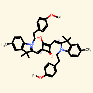 CC(C)Oc1ccc(CCN2/C(=C\C3=C(O)C(=C\C4=[N+](CCc5ccc(OC(C)C)cc5)c5ccc(C(F)(F)F)cc5C4(C)C)/C3=O)C(C)(C)c3cc(C(F)(F)F)ccc32)cc1